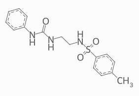 Cc1ccc(S(=O)(=O)NCCNC(=O)Nc2ccccc2)cc1